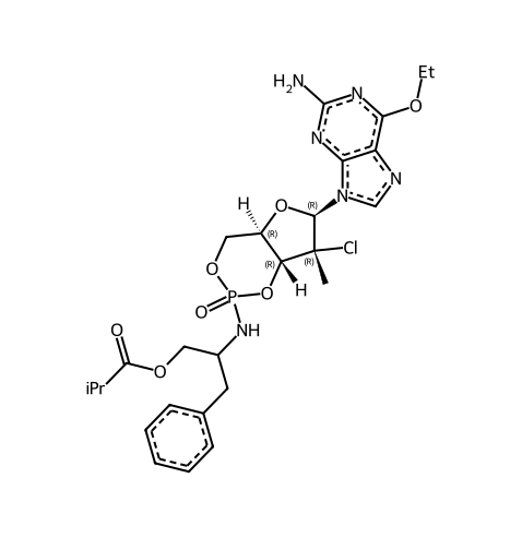 CCOc1nc(N)nc2c1ncn2[C@@H]1O[C@@H]2COP(=O)(NC(COC(=O)C(C)C)Cc3ccccc3)O[C@H]2[C@@]1(C)Cl